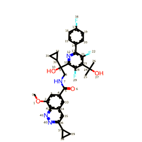 COc1cc(C(=O)NCC(O)(c2nc(-c3ccc(F)cc3)c(F)c(C(C)(C)O)c2F)C2CC2)cc2cc(C3CC3)nnc12